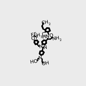 C=C/C=C\c1cccc(CNC(CC(N)=O)c2ccc3c(c2)nc(-c2ccc(N(CCO)CCO)cc2)n3Cc2ccc(OC(F)(F)F)cc2)c1C